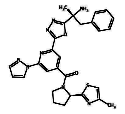 Cc1csc([C@H]2CCCN2C(=O)c2cc(-c3nnc([C@](C)(N)Cc4ccccc4)o3)nc(-n3cccn3)c2)n1